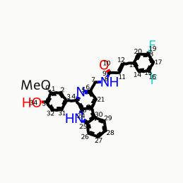 COc1cc(-c2nc(CNC(=O)/C=C/c3cc(F)cc(F)c3)cc3c2[nH]c2ccccc23)ccc1O